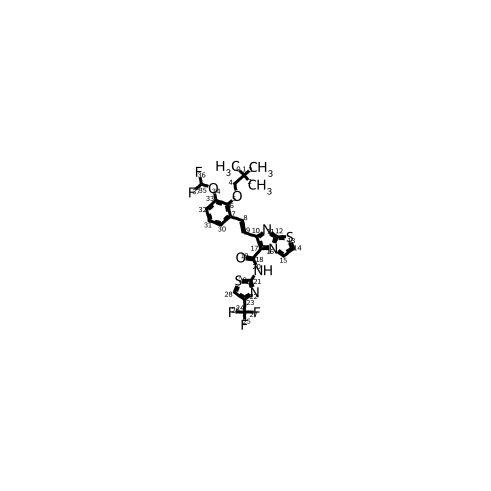 CC(C)(C)COc1c(C=Cc2nc3sccn3c2C(=O)Nc2nc(C(F)(F)F)cs2)cccc1OC(F)F